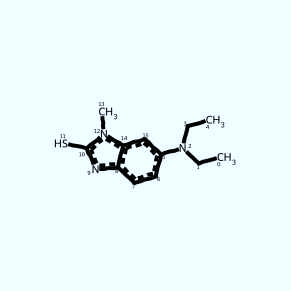 CCN(CC)c1ccc2nc(S)n(C)c2c1